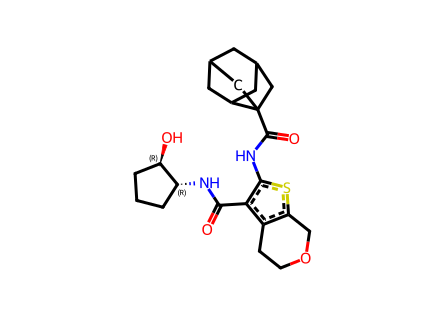 O=C(N[C@@H]1CCC[C@H]1O)c1c(NC(=O)C23CC4CC(CC2C4)C3)sc2c1CCOC2